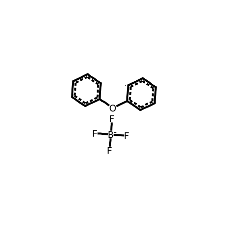 F[B-](F)(F)F.[c]1ccccc1Oc1ccccc1